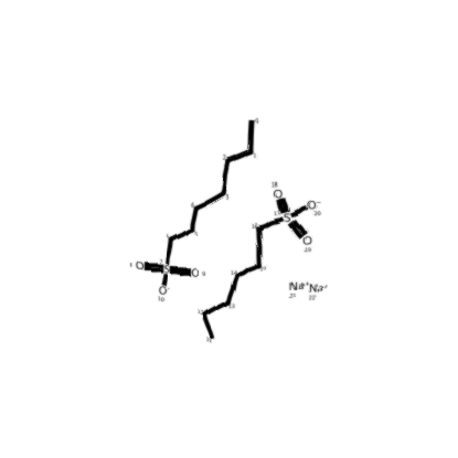 CCCCCCCS(=O)(=O)[O-].CCCCCCS(=O)(=O)[O-].[Na+].[Na+]